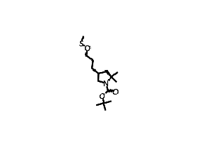 CSOCCCC1CN(C(=O)OC(C)(C)C)C(C)(C)C1